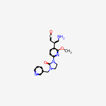 COc1nc(N2CCN(Cc3cccnc3)C2=O)ccc1/C(C=C=O)=C/N